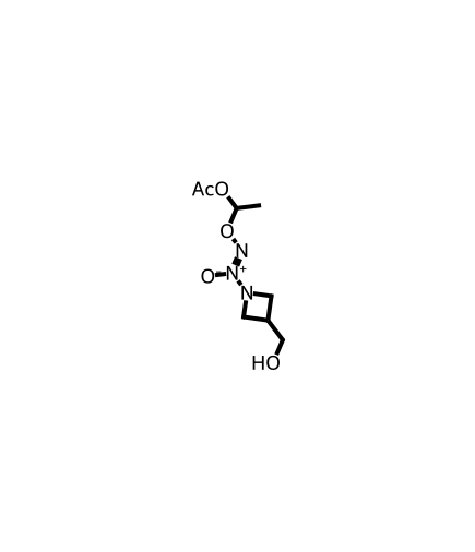 CC(=O)OC(C)ON=[N+]([O-])N1CC(CO)C1